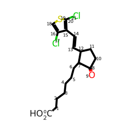 O=C(O)CCCCCCC1C(=O)CCC1/C=C/c1c(Cl)csc1Cl